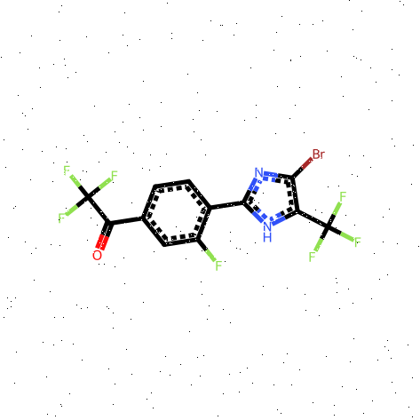 O=C(c1ccc(-c2nc(Br)c(C(F)(F)F)[nH]2)c(F)c1)C(F)(F)F